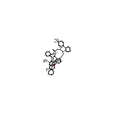 C=C1CC2C(CCc3ccc4c(oc5cc(F)ccc54)c3-c3n(-c4c(C(C)C)cc(-c5ccccc5)cc4C(C)C)c4ccccc4[n+]31)c1ccccc1-c1ccc([Si](C)(C)C)c[n+]12